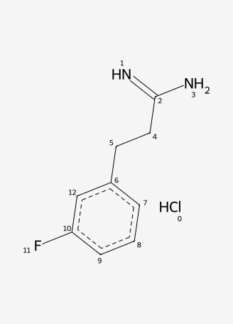 Cl.N=C(N)CCc1cccc(F)c1